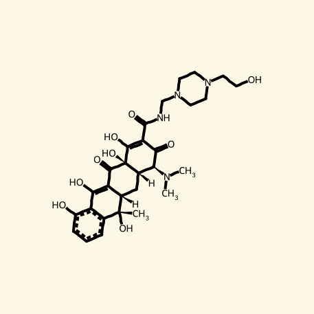 CN(C)[C@@H]1C(=O)C(C(=O)NCN2CCN(CCO)CC2)=C(O)[C@@]2(O)C(=O)C3=C(O)c4c(O)cccc4[C@@](C)(O)[C@H]3C[C@@H]12